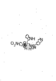 O=[N+]([O-])c1ccc(S(=O)(=O)N[C@H](CNc2cc(-c3ccc4cnccc4c3)no2)Cc2c[nH]c3ccccc23)cc1